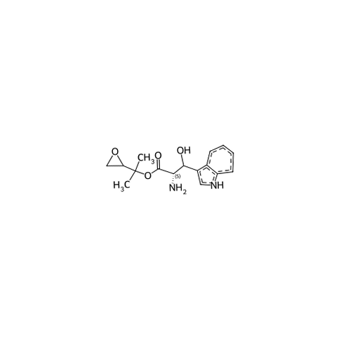 CC(C)(OC(=O)[C@@H](N)C(O)c1c[nH]c2ccccc12)C1CO1